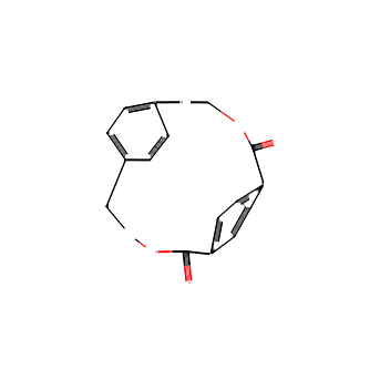 O=C1OCCc2ccc(cc2)CCOC(=O)c2ccc1cc2